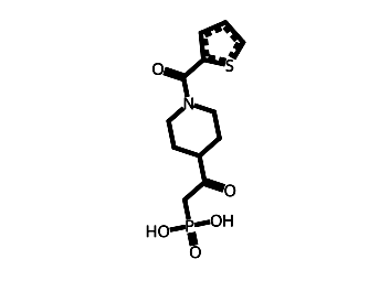 O=C(CP(=O)(O)O)C1CCN(C(=O)c2cccs2)CC1